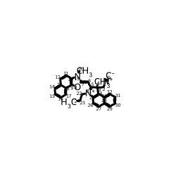 [C-]#[N+]CC1(C)C(/C=C2\Oc3c(ccc4ccccc34)N2C)=[N+](CCC)c2ccc3ccccc3c21